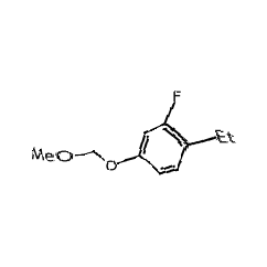 CCc1ccc(OCOC)cc1F